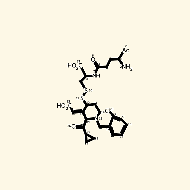 CC(=O)C(N)CCC(=O)NC(CSSC1CCN(Cc2ccccc2Cl)C(C(=O)C2CC2)/C1=C/C(=O)O)C(=O)O